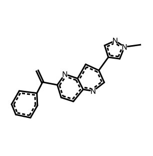 C=C(c1ccccc1)c1ccc2ncc(-c3cnn(C)c3)cc2n1